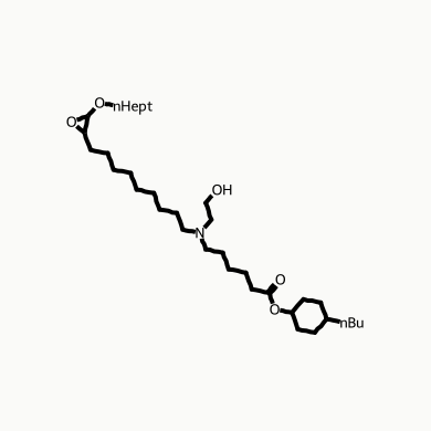 CCCCCCCOC1OC1CCCCCCCCCN(CCO)CCCCCC(=O)OC1CCC(CCCC)CC1